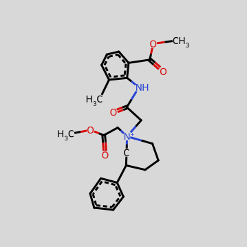 COC(=O)C[N+]1(CC(=O)Nc2c(C)cccc2C(=O)OC)CCCC(c2ccccc2)C1